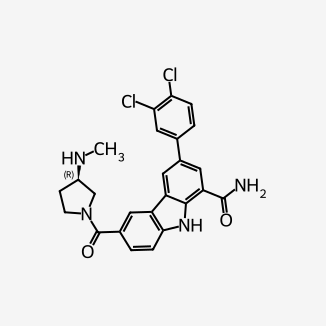 CN[C@@H]1CCN(C(=O)c2ccc3[nH]c4c(C(N)=O)cc(-c5ccc(Cl)c(Cl)c5)cc4c3c2)C1